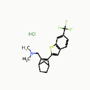 CN(C)CC1=C(c2cc3ccc(C(F)(F)F)cc3s2)C2CCC1C2.Cl